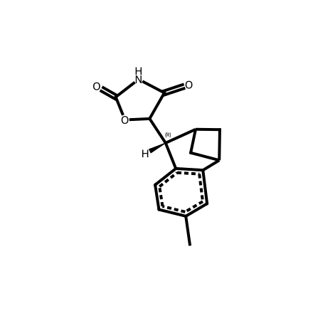 Cc1ccc2c(c1)C1CC(C1)[C@H]2C1OC(=O)NC1=O